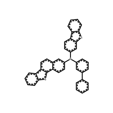 c1ccc(-c2cccc(N(c3ccc4c(ccc5c6ccccc6sc45)c3)c3ccc4c(c3)sc3ccccc34)c2)cc1